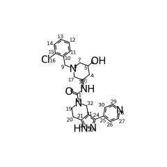 O=C(N[C@@H]1CC(O)CN(Cc2ccccc2Cl)C1)N1CCc2[nH]nc(-c3ccncc3)c2C1